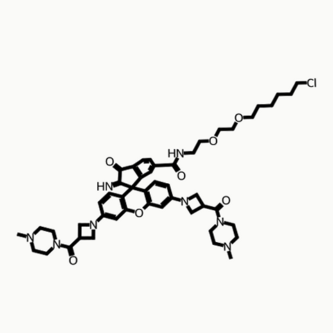 CN1CCN(C(=O)C2CN(c3ccc4c(c3)Oc3cc(N5CC(C(=O)N6CCN(C)CC6)C5)ccc3C43C(=N)C(=O)c4ccc(C(=O)NCCOCCOCCCCCCCl)cc43)C2)CC1